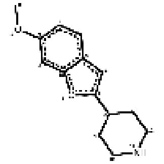 COc1ccc2cc(C3CCNCC3)oc2c1